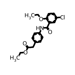 CCOC(=O)Cc1ccc(NC(=O)c2cc(Cl)ccc2OCC)cc1